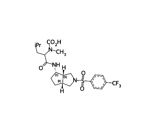 CC(C)CC(C(=O)N[C@H]1CC[C@H]2CN(S(=O)(=O)c3ccc(C(F)(F)F)cc3)C[C@H]21)N(C)C(=O)O